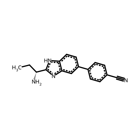 CC[C@@H](N)c1nc2cc(-c3ccc(C#N)cc3)ccc2[nH]1